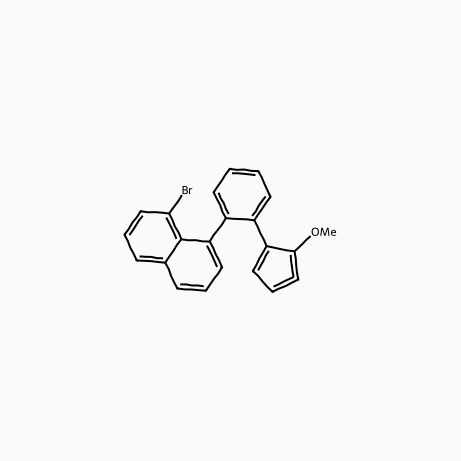 COC1=C=CC=C1c1ccccc1-c1cccc2cccc(Br)c12